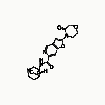 O=C(N[C@H]1CN2CCC1CC2)c1cc2oc(N3CCOCC3=O)cc2cn1